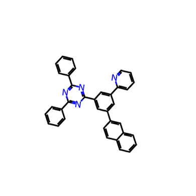 c1ccc(-c2nc(-c3ccccc3)nc(-c3cc(-c4ccc5ccccc5c4)cc(-c4ccccn4)c3)n2)cc1